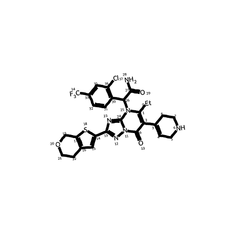 CCc1c(C2=CCNCC2)c(=O)n2nc(-c3cc4c(s3)COCC4)nc2n1C(C(N)=O)c1ccc(C(F)(F)F)cc1Cl